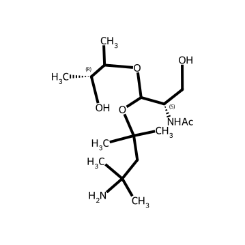 CC(=O)N[C@@H](CO)C(OC(C)[C@@H](C)O)OC(C)(C)CC(C)(C)N